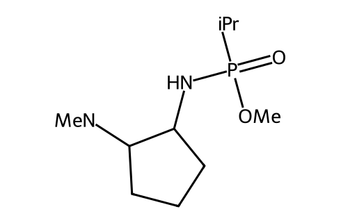 CNC1CCCC1NP(=O)(OC)C(C)C